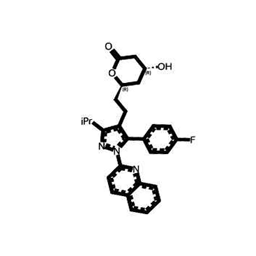 CC(C)c1nn(-c2ccc3ccccc3n2)c(-c2ccc(F)cc2)c1CC[C@@H]1C[C@@H](O)CC(=O)O1